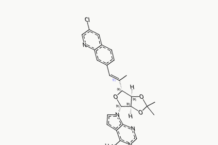 C/C(=C\c1ccc2cc(Cl)cnc2c1)[C@H]1O[C@@H](n2ccc3c(N)ncnc32)[C@@H]2OC(C)(C)O[C@@H]21